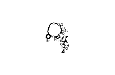 C=C[C@@H]1C[C@]1(NC(=O)[C@@H]1C[C@@H]2CN1C(=O)[C@H](C(C)(C)C)NC(=O)OCCCC/C=C/Cc1ccc(Br)cc1O2)C(=O)NS(=O)(=O)C1CC1